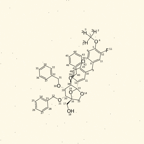 [2H]C([2H])([2H])Oc1ccc(Cc2cc([C@]34OC[C@@](CO)(O3)[C@H](OCc3ccccc3)[C@H](OCc3ccccc3)[C@H]4OCc3ccccc3)ccc2Cl)cc1F